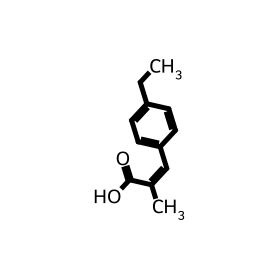 CCc1ccc(C=C(C)C(=O)O)cc1